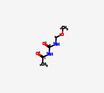 COCNC(=O)NC(C)=O